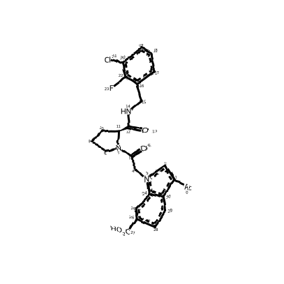 CC(=O)c1cn(CC(=O)N2CCC[C@H]2C(=O)NCc2cccc(Cl)c2F)c2cc(C(=O)O)ccc12